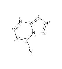 Clc1ncnc2cncn12